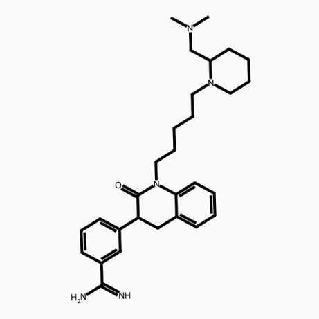 CN(C)CC1CCCCN1CCCCCN1C(=O)C(c2cccc(C(=N)N)c2)Cc2ccccc21